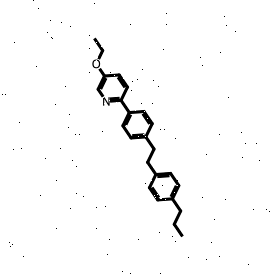 CCCc1ccc(CCc2ccc(-c3ccc(OCC)cn3)cc2)cc1